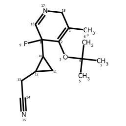 CC1=C(OC(C)(C)C)C(F)(C2CC2CC#N)C=NC1